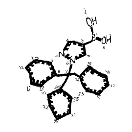 OB(O)c1cnn(C(c2ccccc2)(c2ccccc2)c2ccccc2)c1